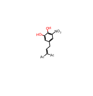 CC(=O)C(=CCc1cc(O)c(O)c([N+](=O)[O-])c1)C(C)=O